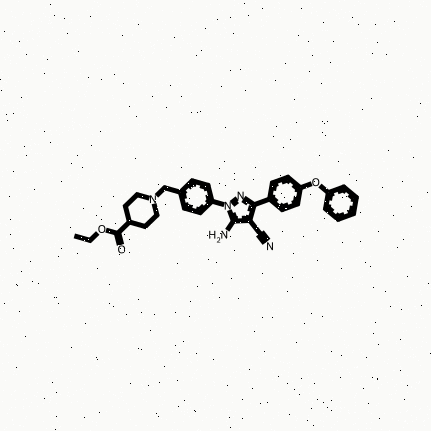 CCOC(=O)C1CCN(Cc2ccc(-n3nc(-c4ccc(Oc5ccccc5)cc4)c(C#N)c3N)cc2)CC1